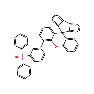 O=P(c1ccccc1)(c1ccccc1)c1cccc(-c2cccc3c2Oc2ccccc2C32c3ccccc3-c3ccccc32)c1